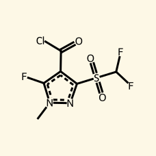 Cn1nc(S(=O)(=O)C(F)F)c(C(=O)Cl)c1F